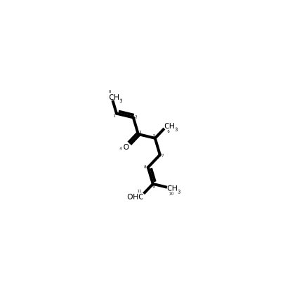 CC=CC(=O)C(C)CC=C(C)C=O